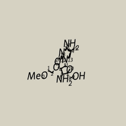 COCCO[C@@H]1[C@H](N)[C@@H](CO)O[C@H]1n1cc(C)c(N)nc1=O